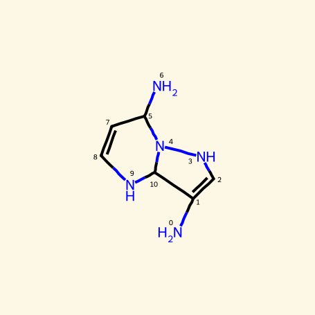 NC1=CNN2C(N)C=CNC12